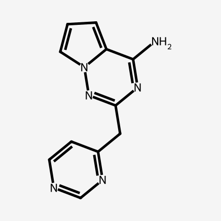 Nc1nc(Cc2ccncn2)nn2cccc12